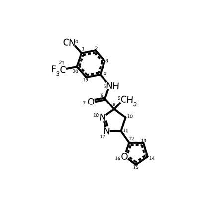 [C-]#[N+]c1ccc(NC(=O)C2(C)CC(c3ccco3)N=N2)cc1C(F)(F)F